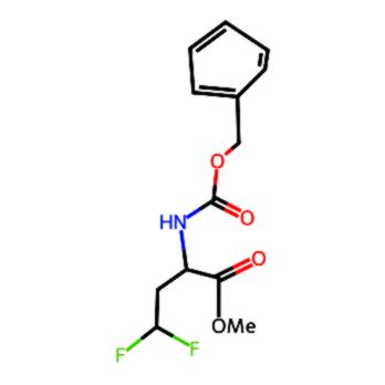 COC(=O)C(CC(F)F)NC(=O)OCc1ccccc1